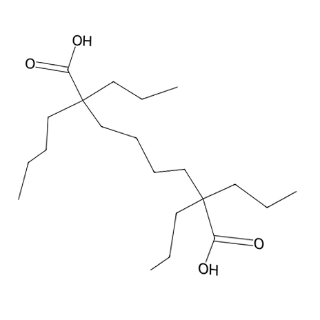 CCCCC(CCC)(CCCCC(CCC)(CCC)C(=O)O)C(=O)O